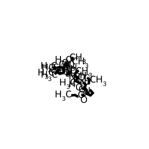 CCCCOC(=O)[C@@H]1CCCN1C(=O)[C@H](CC(C)C)NC(=O)[C@H](C)C(=O)[C@@H](NC(=O)C[C@H](CC(C)(C)[Si](C)(C)O)[C@H](NC(=O)OC(C)(C)C)[C@@H](C)CC)C(C)C